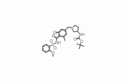 COc1ccccc1S(=O)(=O)Nc1noc2cc(CN3CCC(NC(=O)OC(C)(C)C)C3)cc(C)c12